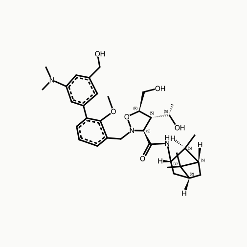 COc1c(CN2O[C@@H](CO)[C@H]([C@H](C)O)[C@H]2C(=O)N[C@H]2C[C@H]3C[C@@H]([C@@H]2C)C3(C)C)cccc1-c1cc(CO)cc(N(C)C)c1